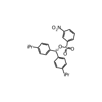 CC(C)c1ccc([I+](OS(=O)(=O)c2cccc([N+](=O)[O-])c2)c2ccc(C(C)C)cc2)cc1